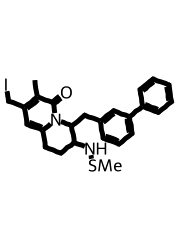 CSNC1CCc2cc(CI)c(C)c(=O)n2C1Cc1cccc(-c2ccccc2)c1